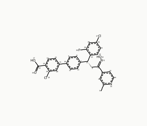 Cc1cc(/C(C[C@H](c2ccc(-c3ccc(C(=O)O)c(Cl)c3)cc2)c2ccc(Cl)cc2F)=N/O)ccn1